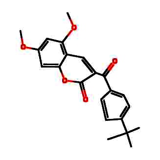 COc1cc(OC)c2cc(C(=O)c3ccc(C(C)(C)C)cc3)c(=O)oc2c1